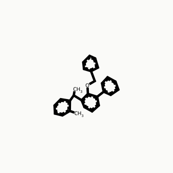 Cc1ccccc1C(C)c1cccc(-c2ccccc2)c1OCc1ccccc1